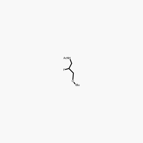 CC(=O)NCC(F)COC(C)(C)C